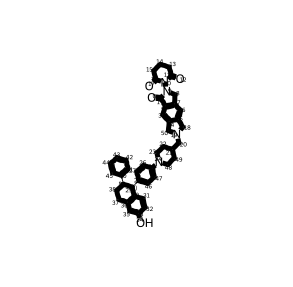 O=C1c2cc3c(cc2CN1N1C(=O)CCCC1=O)CN(CC1CCN(c2ccc([C@@H]4c5ccc(O)cc5CC[C@@H]4c4ccccc4)cc2)CC1)C3